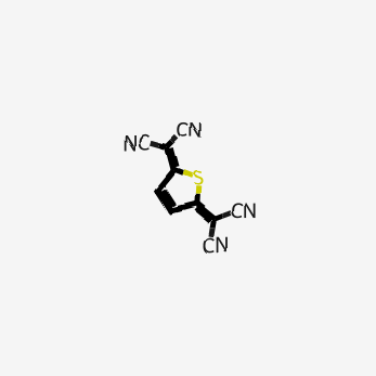 N#CC(C#N)=c1ccc(=C(C#N)C#N)s1